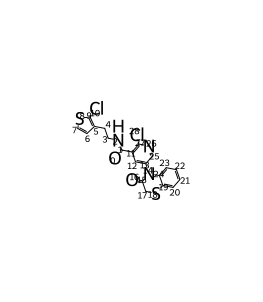 O=C(NCCc1ccsc1Cl)c1cc(N2C(=O)CSc3ccccc32)cnc1Cl